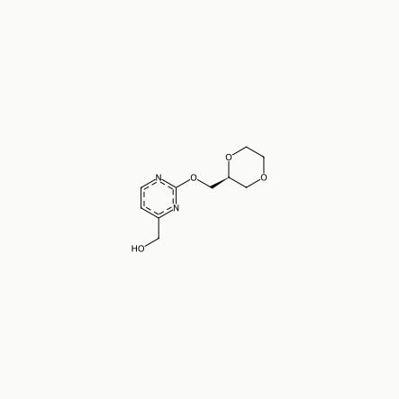 OCc1ccnc(OC[C@@H]2COCCO2)n1